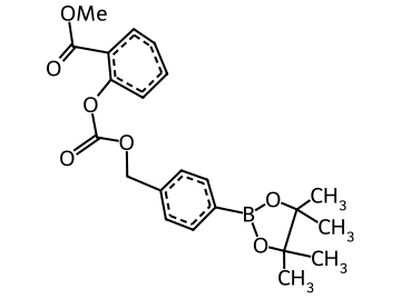 COC(=O)c1ccccc1OC(=O)OCc1ccc(B2OC(C)(C)C(C)(C)O2)cc1